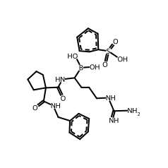 N=C(N)NCCCC(NC(=O)C1(C(=O)NCc2ccccc2)CCCC1)B(O)O.O=S(=O)(O)c1ccccc1